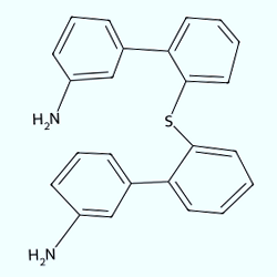 Nc1cccc(-c2ccccc2Sc2ccccc2-c2cccc(N)c2)c1